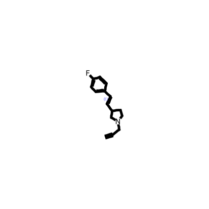 C#CCN1CCC(/C=C/c2ccc(F)cc2)C1